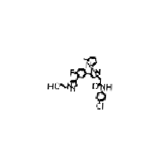 Cc1cccc(-n2nc(CC(=O)Nc3ccc(Cl)cc3)cc2-c2ccc(F)c(-c3cnn(CCO)c3)c2)n1